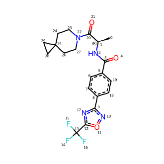 C[C@@H](NC(=O)c1ccc(-c2noc(C(F)(F)F)n2)cc1)C(=O)N1CCC2(CC1)CC2